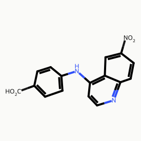 O=C(O)c1ccc(Nc2ccnc3ccc([N+](=O)[O-])cc23)cc1